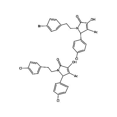 CC(=O)C1=C(O)C(=O)N(CCc2ccc(Br)cc2)C1c1ccc(Cl)cc1.CC(=O)C1=C(O)C(=O)N(CCc2ccc(Cl)cc2)C1c1ccc(Cl)cc1